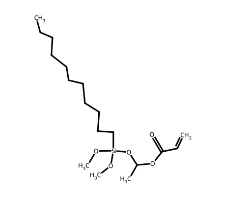 C=CC(=O)OC(C)O[Si](CCCCCCCCCCC)(OC)OC